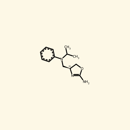 CC(C)N(C[C@H]1COC(N)=N1)c1ccccc1